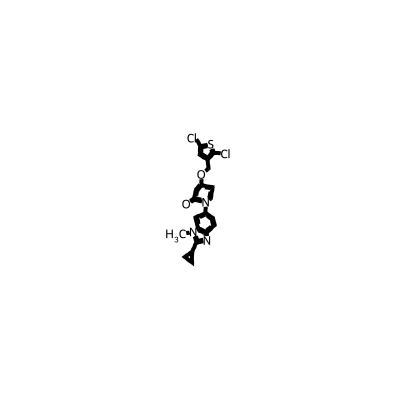 Cn1c(C2CC2)nc2ccc(-n3ccc(OCc4cc(Cl)sc4Cl)cc3=O)cc21